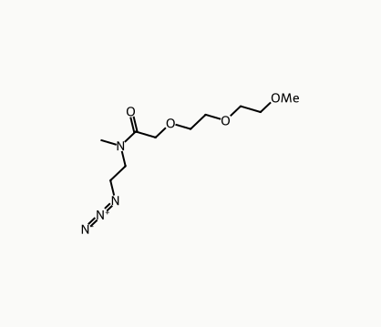 COCCOCCOCC(=O)N(C)CCN=[N+]=[N-]